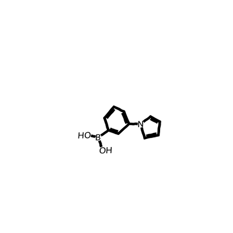 OB(O)c1cccc(-n2cccc2)c1